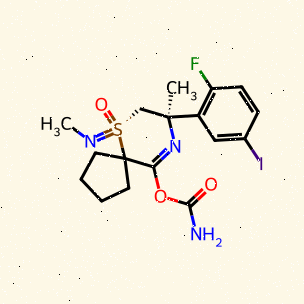 CN=[S@]1(=O)C[C@@](C)(c2cc(I)ccc2F)N=C(OC(N)=O)C12CCCC2